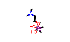 CN(C)CCOP(C)(C)(O)O